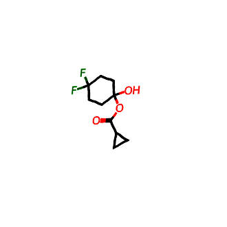 O=C(OC1(O)CCC(F)(F)CC1)C1CC1